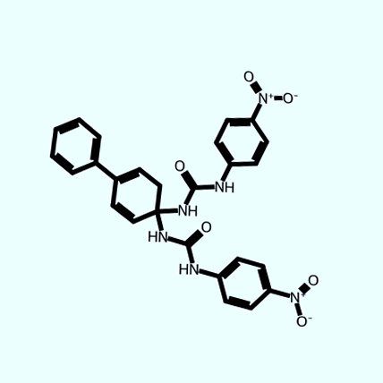 O=C(Nc1ccc([N+](=O)[O-])cc1)NC1(NC(=O)Nc2ccc([N+](=O)[O-])cc2)C=CC(c2ccccc2)=CC1